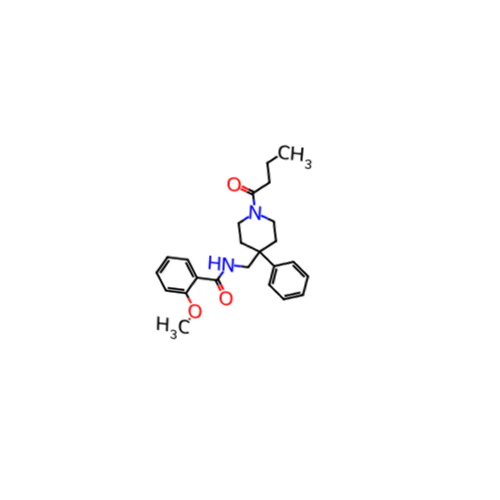 CCCC(=O)N1CCC(CNC(=O)c2ccccc2OC)(c2ccccc2)CC1